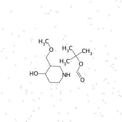 CC(C)(C)OC=O.COCC1CNCCC1O